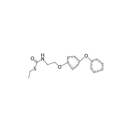 CCSC(=O)NCCOc1ccc(Oc2ccccc2)cc1